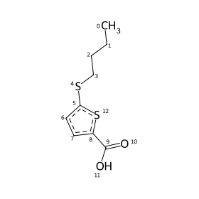 CCCCSc1ccc(C(=O)O)s1